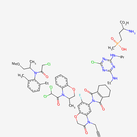 C#CCN1C(=O)COc2cc(F)c(N3C(=O)C4=C(CCCC4)C3=O)cc21.CC1COc2ccccc2N1C(=O)C(Cl)Cl.CCNc1nc(Cl)nc(NC(C)C)n1.CCc1cccc(C)c1N(C(=O)CCl)C(C)COC.CP(=O)(O)CCC(N)C(=O)O